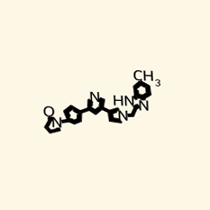 Cc1ccc2nc(Cn3ccc(-c4cncc(-c5ccc(N6CCCC6=O)cc5)c4)c3)[nH]c2c1